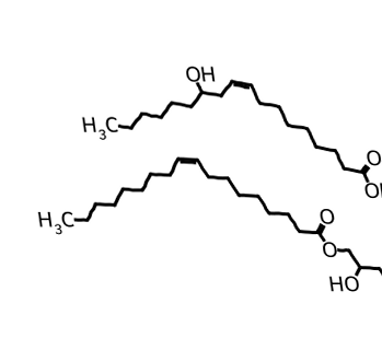 CCCCCCC(O)C/C=C\CCCCCCCC(=O)O.CCCCCCCC/C=C\CCCCCCCC(=O)OCC(O)CO